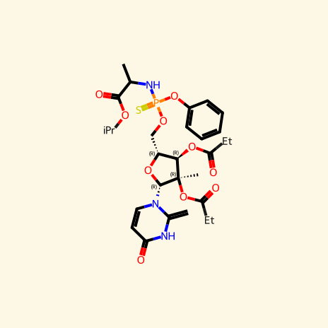 C=C1NC(=O)C=CN1[C@@H]1O[C@H](COP(=S)(NC(C)C(=O)OC(C)C)Oc2ccccc2)[C@@H](OC(=O)CC)[C@@]1(C)OC(=O)CC